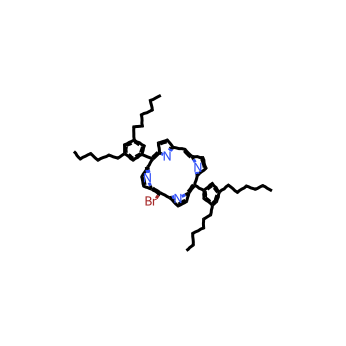 CCCCCCc1cc(CCCCCC)cc(C2=C3C=CC(=N3)C=C3C=CC(=N3)C(c3cc(CCCCCC)cc(CCCCCC)c3)=C3C=CC(=N3)C(Br)=C3C=CC2=N3)c1